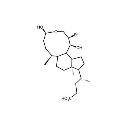 CC[C@@H]1CC[C@H](O)CC[C@H](C)C2CC[C@@]3(C)C(CCC3[C@H](C)CCC(=O)O)C2[C@@H]1O